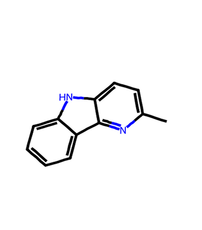 Cc1ccc2[nH]c3ccccc3c2n1